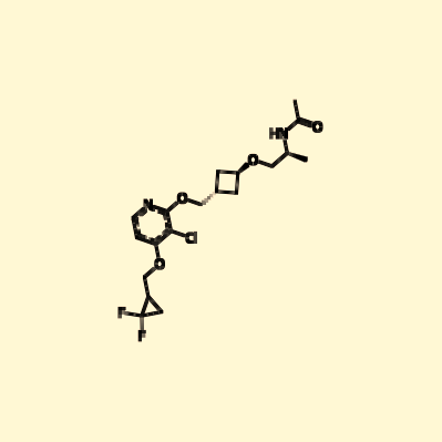 CC(=O)N[C@@H](C)CO[C@H]1C[C@H](COc2nccc(OCC3CC3(F)F)c2Cl)C1